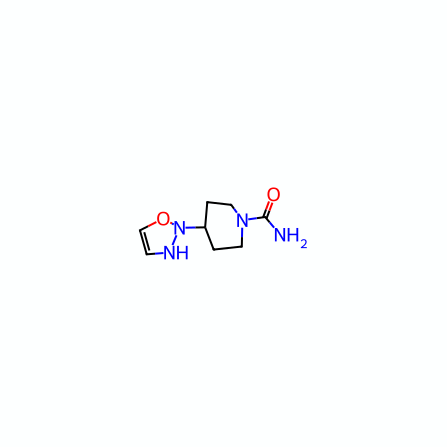 NC(=O)N1CCC(N2NC=CO2)CC1